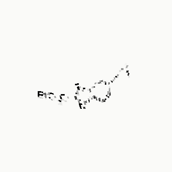 CCOC(=O)c1nc2ccc(C3CC3)cc2s1